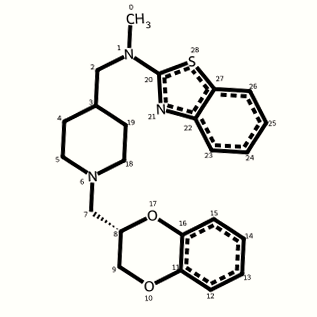 CN(CC1CCN(C[C@H]2COc3ccccc3O2)CC1)c1nc2ccccc2s1